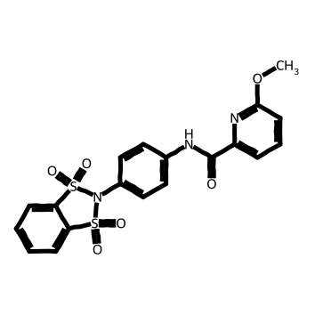 COc1cccc(C(=O)Nc2ccc(N3S(=O)(=O)c4ccccc4S3(=O)=O)cc2)n1